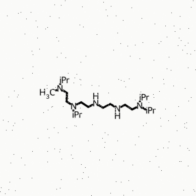 CC(C)N(C)CCN(CCNCCNCCN(C(C)C)C(C)C)C(C)C